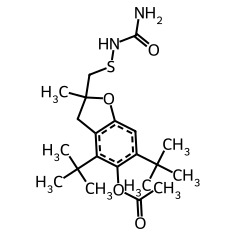 CC(=O)Oc1c(C(C)(C)C)cc2c(c1C(C)(C)C)CC(C)(CSNC(N)=O)O2